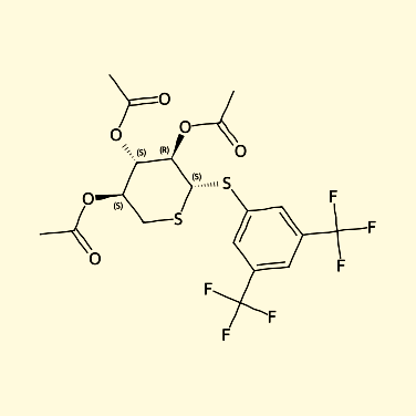 CC(=O)O[C@@H]1[C@@H](OC(C)=O)[C@H](Sc2cc(C(F)(F)F)cc(C(F)(F)F)c2)SC[C@H]1OC(C)=O